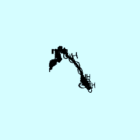 O=C(CN1CCN(c2cccc(-c3cnc4ccc(N5CCCC5c5cccc(F)c5)nn34)n2)CC1)NCCOCCOCCOCCNc1ccc2c(c1)C(=O)N(C1CCC(=O)NC1=O)C2=O